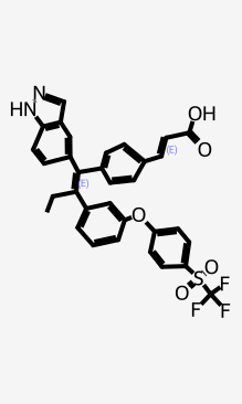 CC/C(=C(/c1ccc(/C=C/C(=O)O)cc1)c1ccc2[nH]ncc2c1)c1cccc(Oc2ccc(S(=O)(=O)C(F)(F)F)cc2)c1